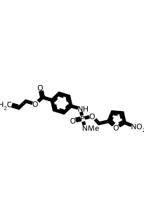 C=CCOC(=O)c1ccc(NP(=O)(NC)OCc2ccc([N+](=O)[O-])o2)cc1